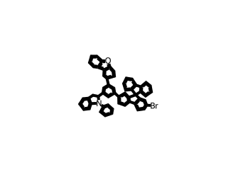 Brc1ccc2c(c1)C1(c3ccccc3-c3ccccc31)c1cc(-c3cc(-c4ccc5oc6ccccc6c5c4)cc(C4Cc5ccccc5N4c4ccccc4)c3)ccc1-2